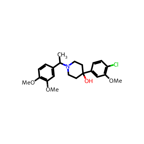 COc1cc(C2(O)CCN(C(C)c3ccc(OC)c(OC)c3)CC2)ccc1Cl